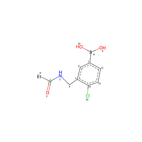 CCC(=O)NCc1cc(B(O)O)ccc1Cl